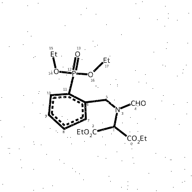 CCOC(=O)C(C(=O)OCC)N(C=O)Cc1ccccc1P(=O)(OCC)OCC